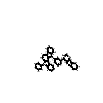 c1ccc(-n2c3ccccc3c3c2ccc2c4ccccc4n(-c4cccc(-c5ncnc6c5sc5ccccc56)c4)c23)cc1